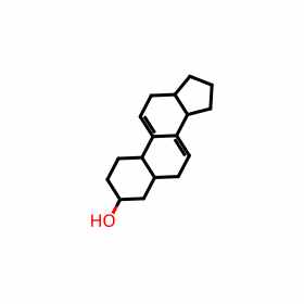 OC1CCC2C3=CCC4CCCC4C3=CCC2C1